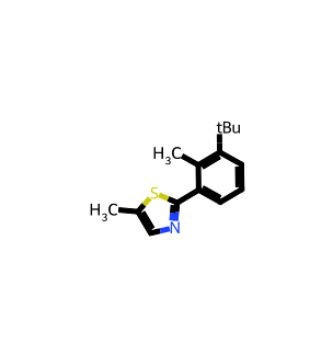 Cc1cnc(-c2cccc(C(C)(C)C)c2C)s1